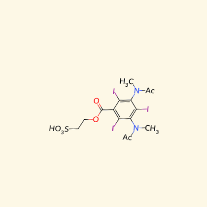 CC(=O)N(C)c1c(I)c(C(=O)OCCS(=O)(=O)O)c(I)c(N(C)C(C)=O)c1I